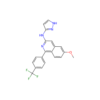 COc1ccc2c(-c3ccc(C(F)(F)F)cc3)nc(Nc3cc[nH]n3)cc2c1